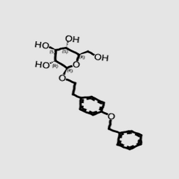 OC[C@H]1O[C@@H](OCCc2ccc(OCc3ccccc3)cc2)[C@H](O)[C@@H](O)[C@@H]1O